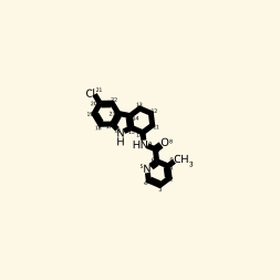 Cc1cccnc1C(=O)NC1CCCc2c1[nH]c1ccc(Cl)cc21